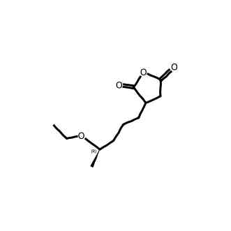 CCO[C@H](C)CCCC1CC(=O)OC1=O